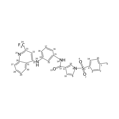 Cc1ccc(S(=O)(=O)n2ccc(C(=O)Nc3cccc(Nc4cc(C(F)(F)F)nc5ccccc45)c3)c2)cc1